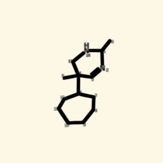 CC1N=CC(C)(C2CCCCCC2)CN1